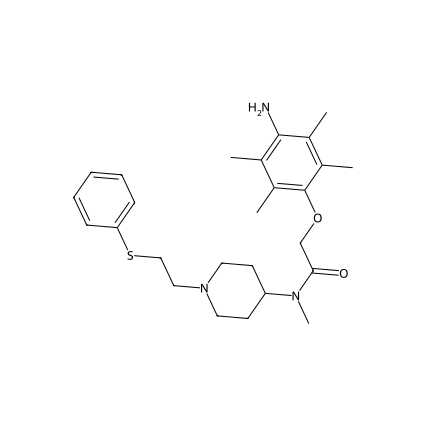 Cc1c(C)c(OCC(=O)N(C)C2CCN(CCSc3ccccc3)CC2)c(C)c(C)c1N